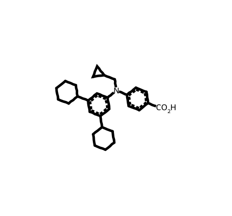 O=C(O)c1ccc(N(CC2CC2)c2cc(C3CCCCC3)cc(C3CCCCC3)c2)cc1